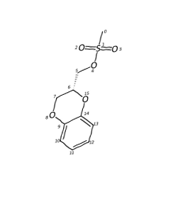 CS(=O)(=O)OC[C@H]1COc2ccccc2O1